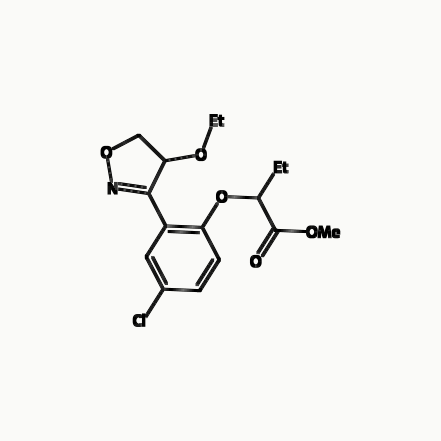 CCOC1CON=C1c1cc(Cl)ccc1OC(CC)C(=O)OC